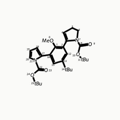 COc1c(C2=CCCN2C(=O)OC(C)(C)C)cc(C(C)(C)C)cc1-c1cccn1C(=O)OC(C)(C)C